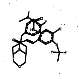 CN(C)C(=O)Nc1cc(Cl)c(OC(F)(F)F)cc1/C=C/C(=O)N1C2COCC1CN(Cc1ccc(F)cc1)C2